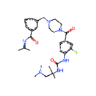 CC(C)=NC(=O)c1cccc(CN2CCN(C(=O)c3ccc(NC(=O)NC(C)(C)CN(C)C)c(F)c3)CC2)c1